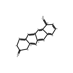 O=C1CC=c2cc3cc4c(cc3cc2C1)=CC=CC4=O